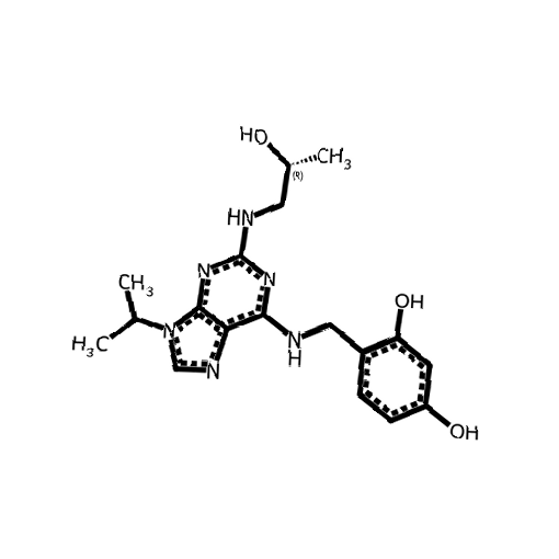 CC(C)n1cnc2c(NCc3ccc(O)cc3O)nc(NC[C@@H](C)O)nc21